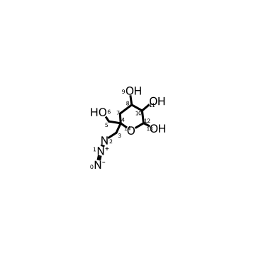 [N-]=[N+]=NCC1(CO)CC(O)C(O)C(O)O1